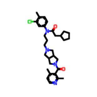 Cc1ccc(N(CCCN2CC3CN(C(=O)c4c(C)ccnc4C)CC3C2)C(=O)CC2CCCC2)cc1Cl